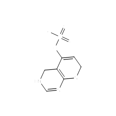 O=S(=O)(OC1=CCNC2=C1CNC=N2)C(F)(F)F